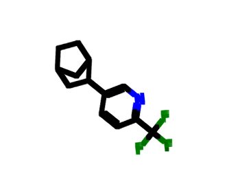 FC(F)(F)c1ccc(C2CC3CCC2C3)cn1